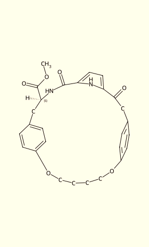 COC(=O)[C@@H]1Cc2ccc(cc2)OCCCCOc2ccc(cc2)CC(=O)c2ccc([nH]2)C(=O)N1